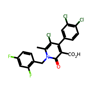 Cc1c(Cl)c(-c2ccc(Cl)c(Cl)c2)c(C(=O)O)c(=O)n1Cc1ccc(F)cc1F